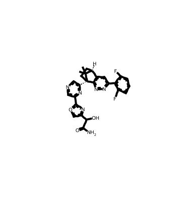 CC1(C)[C@H]2CC[C@]1(c1cncc(-c3nc(C(O)C(N)=O)co3)n1)c1nnc(-c3c(F)cccc3F)cc12